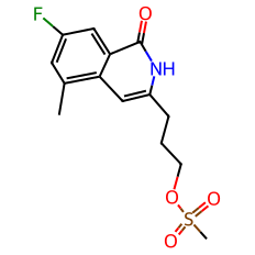 Cc1cc(F)cc2c(=O)[nH]c(CCCOS(C)(=O)=O)cc12